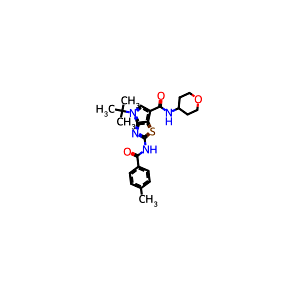 Cc1ccc(C(=O)Nc2nc3c(s2)c(C(=O)NC2CCOCC2)cn3C(C)(C)C)cc1